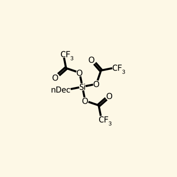 CCCCCCCCCC[Si](OC(=O)C(F)(F)F)(OC(=O)C(F)(F)F)OC(=O)C(F)(F)F